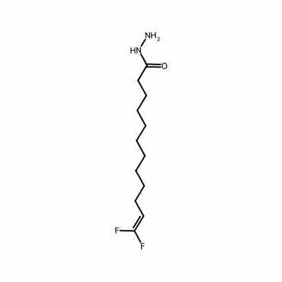 NNC(=O)CCCCCCCCCC=C(F)F